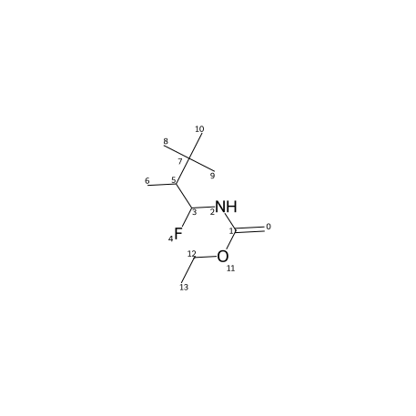 C=C(NC(F)C(C)C(C)(C)C)OCC